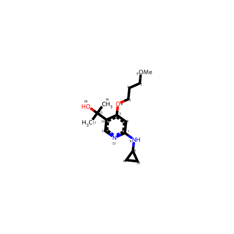 COCCCOc1cc(NC2CC2)ncc1C(C)(C)O